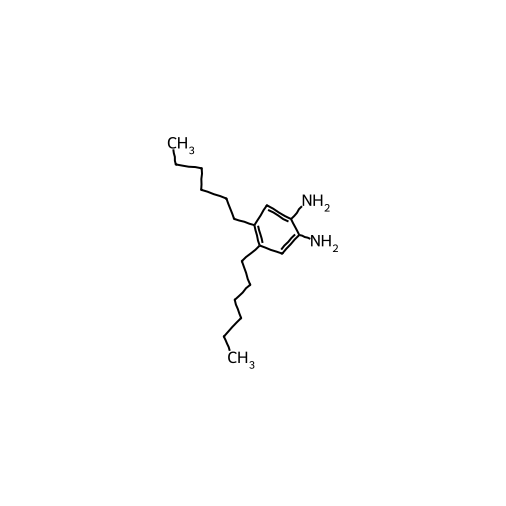 CCCCCCc1cc(N)c(N)cc1CCCCCC